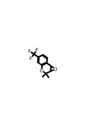 CC1(C)Oc2cc(C(F)(F)F)ccc2C2OC21